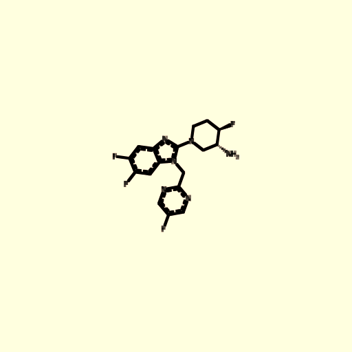 N[C@@H]1CN(c2nc3cc(F)c(F)cc3n2Cc2ncc(F)cn2)CC[C@H]1F